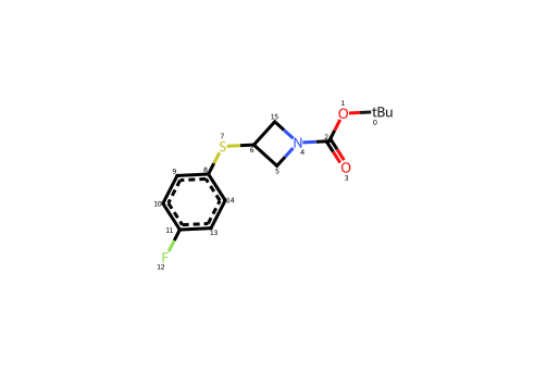 CC(C)(C)OC(=O)N1CC(Sc2ccc(F)cc2)C1